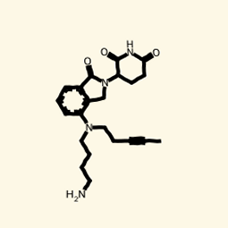 CC#CCCN(CCCCN)c1cccc2c1CN(C1CCC(=O)NC1=O)C2=O